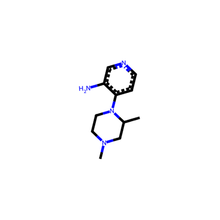 CC1CN(C)CCN1c1ccncc1N